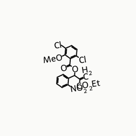 C=C(C(=O)OCC)C(OC(=O)c1c(Cl)ccc(Cl)c1OC)c1ccccc1[N+](=O)[O-]